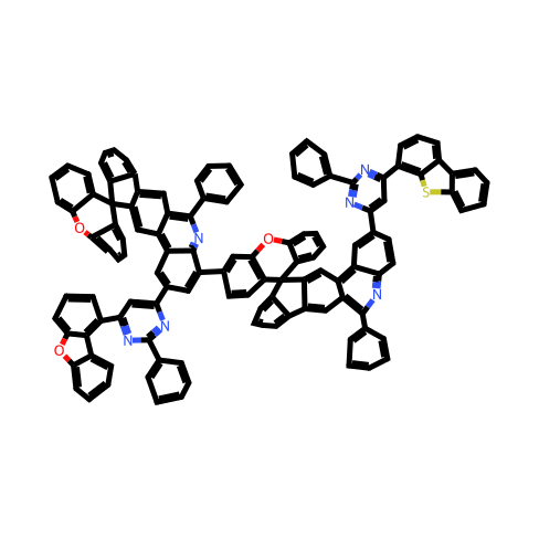 c1ccc(-c2nc(-c3ccc4nc(-c5ccccc5)c5cc6c(cc5c4c3)C3(c4ccccc4Oc4cc(-c5cc(-c7cc(-c8cccc9oc%10ccccc%10c89)nc(-c8ccccc8)n7)cc7c5nc(-c5ccccc5)c5cc8c(cc57)C5(c7ccccc7Oc7ccccc75)c5ccccc5-8)ccc43)c3ccccc3-6)cc(-c3cccc4c3sc3ccccc34)n2)cc1